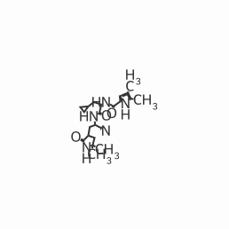 Cc1cc(C(=O)NC(CC2CC2)C(=O)NC(C#N)CC2CC(C)(C)NC2=O)[nH]c1C